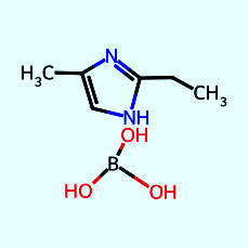 CCc1nc(C)c[nH]1.OB(O)O